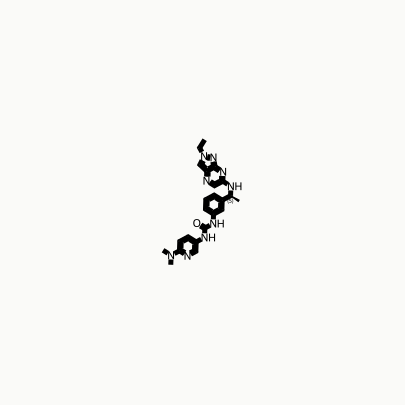 CCn1cc2ncc(N[C@@H](C)c3cccc(NC(=O)Nc4ccc(N(C)C)nc4)c3)nc2n1